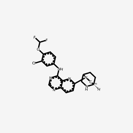 FC(F)Oc1ccc(Nc2ncnc3ccc(N4C[C@H]5CCC4CN5)nc23)cc1Cl